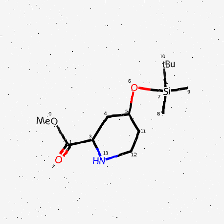 COC(=O)C1CC(O[Si](C)(C)C(C)(C)C)CCN1